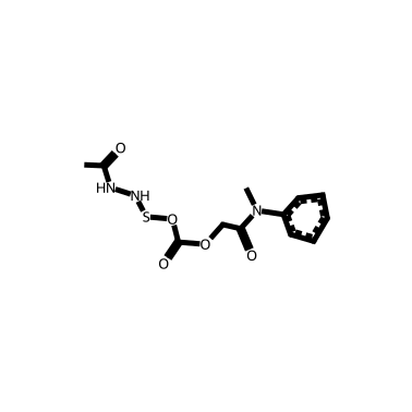 CC(=O)NNSOC(=O)OCC(=O)N(C)c1ccccc1